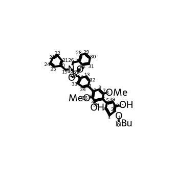 CCCCOc1ccc(-c2c(OC)cc(-c3ccc(S(=O)(=O)N(Cc4ccccc4)Cc4ccccc4)cc3)c(OC)c2O)cc1O